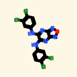 Clc1ccc(Nc2nc3nonc3nc2Nc2ccc(Cl)c(Cl)c2)cc1Cl